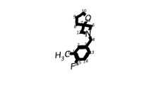 Cc1cc(CN2CC3(CCCO3)C2)ccc1F